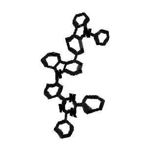 C1=CC2c3c(-c4ccc5c6ccccc6n(-c6ccccc6)c5c4)cccc3N(c3cccc(-c4nc(-c5ccccc5)nc(-c5ccccc5)n4)c3)C2C=C1